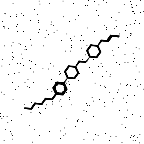 CCCCCCc1ccc([C@H]2CC[C@H](CC[C@H]3CC[C@H](C/C=C/F)CC3)CC2)cc1